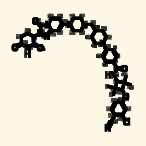 CC1(C)C(NC(=O)c2ccc(N3CCC(CN4CCN(c5ccn6c(=O)n(C7CCC(=O)NC7=O)nc6c5)CC4)CC3)cc2)C(C)(C)C1Oc1ccc(C#N)c(Cl)c1